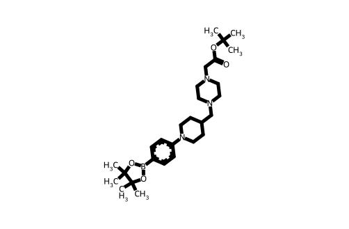 CC(C)(C)OC(=O)CN1CCN(CC2CCN(c3ccc(B4OC(C)(C)C(C)(C)O4)cc3)CC2)CC1